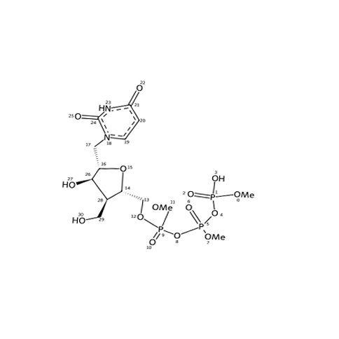 COP(=O)(O)OP(=O)(OC)OP(=O)(OC)OC[C@H]1O[C@@H](Cn2ccc(=O)[nH]c2=O)[C@H](O)[C@@H]1CO